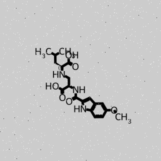 COc1ccc2[nH]c(C(=O)NC(CN[C@@H](CC(C)C)C(=O)O)C(=O)O)cc2c1